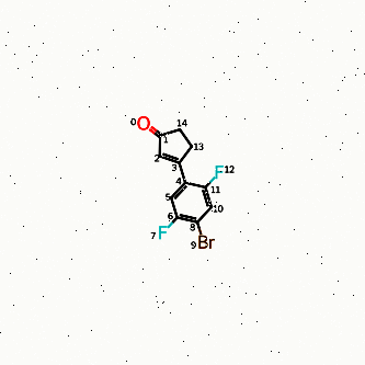 O=C1C=C(c2cc(F)c(Br)cc2F)CC1